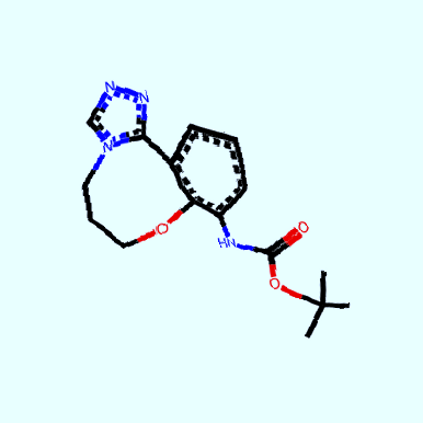 CC(C)(C)OC(=O)Nc1cccc2c1OCCCn1cnnc1-2